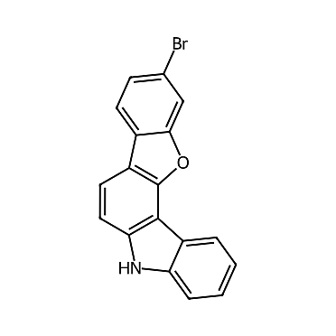 Brc1ccc2c(c1)oc1c2ccc2[nH]c3ccccc3c21